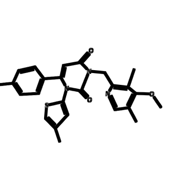 COc1c(C)cnc(Cn2c(=O)cc(-c3ccc(C)cc3)n(-c3cc(C)cs3)c2=O)c1C